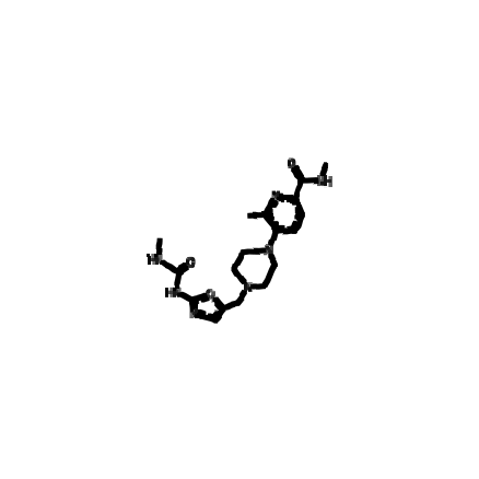 CNC(=O)Nc1ncc(CN2CCN(c3ccc(C(=O)NC)nc3C)CC2)o1